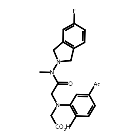 CC(=O)c1ccc(C)c(N(CC(=O)O)CC(=O)N(C)N2Cc3ccc(F)cc3C2)c1